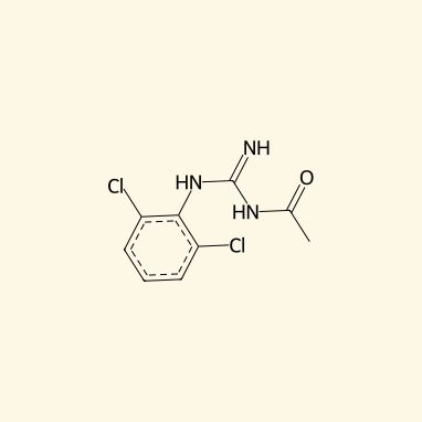 CC(=O)NC(=N)Nc1c(Cl)cccc1Cl